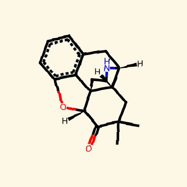 CC1(C)C[C@H]2[C@H]3Cc4cccc5c4[C@@]2(CCN3)[C@@H](O5)C1=O